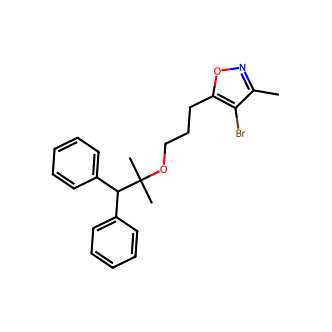 Cc1noc(CCCOC(C)(C)C(c2ccccc2)c2ccccc2)c1Br